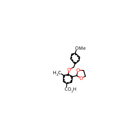 COc1ccc(COc2c(C)cc(C(=O)O)cc2C2OCCO2)cc1